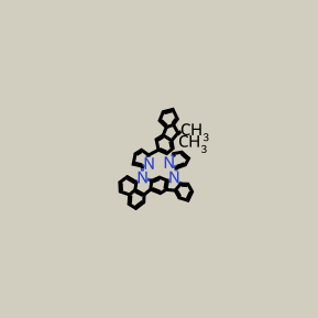 CC1(C)c2ccccc2-c2cc(-c3cccc(N4c5cc6c(cc5-c5cccc7cccc4c57)c4ccccc4n6-c4ccccn4)n3)ccc21